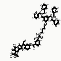 CCc1c2c(nc3ccc(OC(=O)c4cccc(NC(=O)NCCCCOc5cc(CN(Cc6ccccn6)Cc6ccccn6)cc(CN(Cc6ccccn6)Cc6ccccn6)c5)c4)cc13)-c1cc3c(c(=O)n1C2)COC(=O)[C@@]3(O)CC